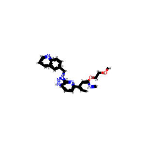 C=N/C(=C\C(=C/C)c1ccc2nnn(Cc3ccc4ncccc4c3)c2n1)OCCOC